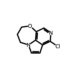 Clc1ncc2c3c1ccn3CCCO2